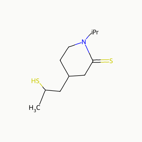 CC(S)CC1CCN(C(C)C)C(=S)C1